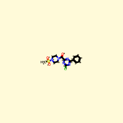 CS(=O)(=O)N1CCN(C(=O)c2nc(Cl)nc(-c3ccccc3)n2)CC1